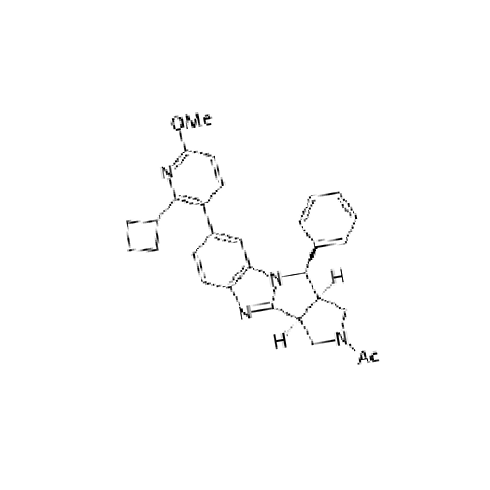 COc1ccc(-c2ccc3nc4n(c3c2)[C@@H](c2ccccc2)[C@H]2CN(C(C)=O)C[C@@H]42)c(C2CCC2)n1